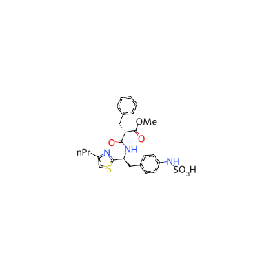 CCCc1csc([C@H](Cc2ccc(NS(=O)(=O)O)cc2)NC(=O)[C@H](Cc2ccccc2)C(=O)OC)n1